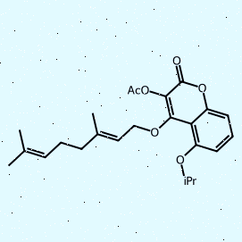 CC(=O)Oc1c(OC/C=C(\C)CCC=C(C)C)c2c(OC(C)C)cccc2oc1=O